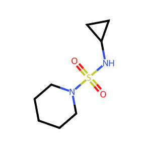 O=S(=O)(NC1CC1)N1CCCCC1